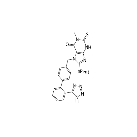 CCCCCc1nc2[nH]c(=S)n(C)c(=O)c2n1Cc1ccc(-c2ccccc2-c2nnn[nH]2)cc1